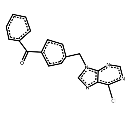 O=C(c1ccccc1)c1ccc(Cn2cnc3c(Cl)ncnc32)cc1